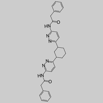 O=C(Cc1ccccc1)Nc1ccc(C2CCCC(c3ccc(NC(=O)Cc4ccccc4)nn3)C2)nn1